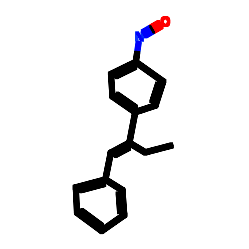 CC/C(=C\c1ccccc1)c1ccc(N=O)cc1